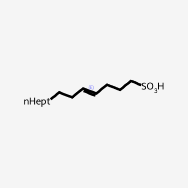 CCCCCCCCC/C=C/CCCS(=O)(=O)O